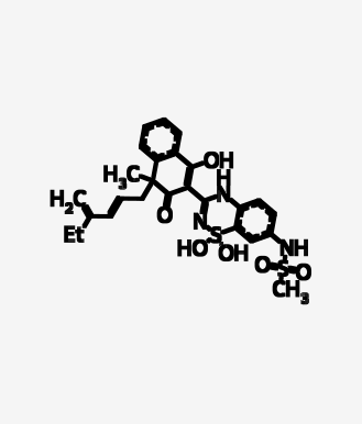 C=C(/C=C/CC1(C)C(=O)C(C2=NS(O)(O)c3cc(NS(C)(=O)=O)ccc3N2)=C(O)c2ccccc21)CC